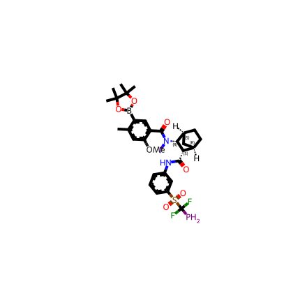 COc1cc(C)c(B2OC(C)(C)C(C)(C)O2)cc1C(=O)N(I)[C@@H]1[C@H]2CC[C@H](C2)[C@@H]1C(=O)Nc1cccc(S(=O)(=O)C(F)(F)P)c1